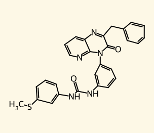 CSc1cccc(NC(=O)Nc2cccc(-n3c(=O)c(Cc4ccccc4)nc4cccnc43)c2)c1